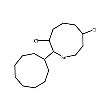 ClC1CCCC(Cl)C(C2CCCCCCCC2)[Se]CC1